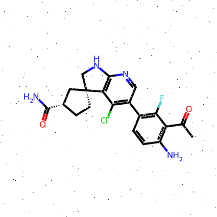 CC(=O)c1c(N)ccc(-c2cnc3c(c2Cl)[C@]2(CC[C@H](C(N)=O)C2)CN3)c1F